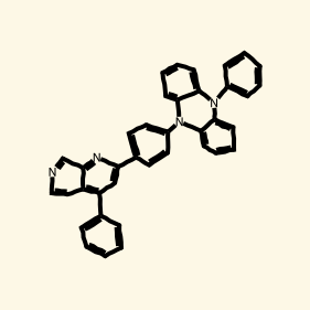 c1ccc(-c2cc(-c3ccc(N4c5ccccc5N(c5ccccc5)c5ccccc54)cc3)nc3cnccc23)cc1